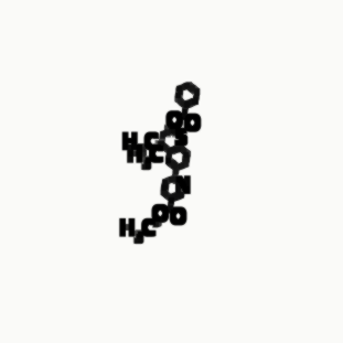 CCOC(=O)c1ccc(-c2ccc3c(c2)C(C)(C)C[C@@H](OC(=O)c2ccccc2)S3)nc1